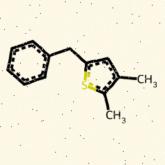 Cc1cc(Cc2ccccc2)sc1C